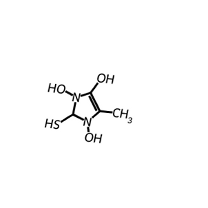 CC1=C(O)N(O)C(S)N1O